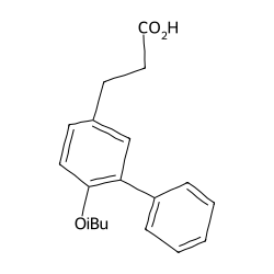 CC(C)COc1ccc(CCC(=O)O)cc1-c1ccccc1